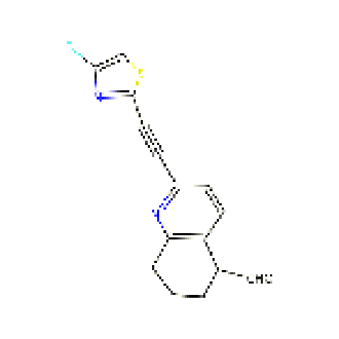 O=CC1CCCc2nc(C#Cc3nc(F)cs3)ccc21